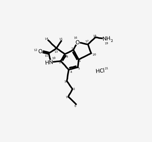 CCCCc1cc2c(c3c1NC(=O)C3(C)C)OC(CN)C2.Cl